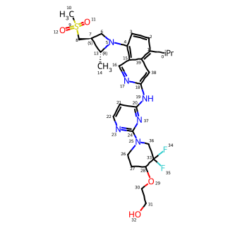 CC(C)c1ccc(N2C[C@H](CS(C)(=O)=O)[C@H]2C)c2cnc(Nc3ccnc(N4CCC(OCCO)C(F)(F)C4)n3)cc12